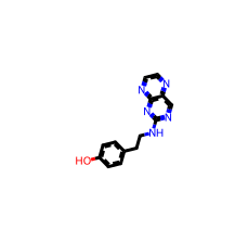 Oc1ccc(CCNc2ncc3nccnc3n2)cc1